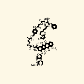 CO[C@H]1OCCN2[C@@H]1O[C@@H]1[C@H](C)O[C@@H](O[C@H]3C[C@](O)(C(=O)COC(=O)N(C)CCN(C)C(=O)OCc4ccc(NC(=O)CNC(=O)[C@H](CC(C)C)NC(=O)[C@H](Cc5ccccc5)NC(=O)CCCCCN5C(=O)C=CC5=O)cc4)Cc4c(O)c5c(c(O)c43)C(=O)c3c(N)cccc3C5=O)C[C@@H]12